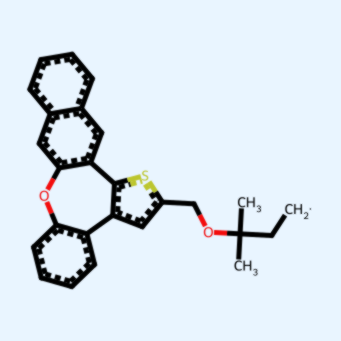 [CH2]CC(C)(C)OCc1cc2c(s1)-c1cc3ccccc3cc1Oc1ccccc1-2